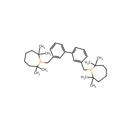 CC1(C)CCCCC(C)(C)P1Cc1cccc(-c2cccc(CP3C(C)(C)CCCCC3(C)C)c2)c1